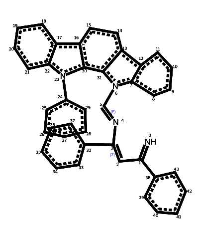 N=C(/C=C(\N=C\n1c2ccccc2c2ccc3c4ccccc4n(-c4ccccc4)c3c21)c1ccccc1)c1ccccc1